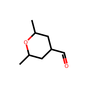 CC1CC(C=O)CC(C)O1